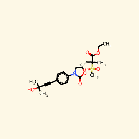 CCOC(=O)C(C)(C[C@H]1CN(c2ccc(C#CC(C)(C)O)cc2)C(=O)O1)S(C)(=O)=O